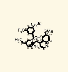 C=CC1C[N+]2(Cc3cc(C(F)(F)F)cc(C(F)(F)F)c3)CCC1C[C@H]2[C@H](O)c1ccnc2ccc(OC)cc12.[Br-]